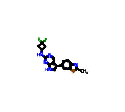 Cc1nc2ccc(-c3c[nH]c4nc(NC5CC(F)(F)C5)ncc34)cc2s1